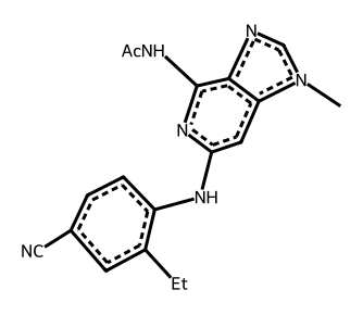 CCc1cc(C#N)ccc1Nc1cc2c(ncn2C)c(NC(C)=O)n1